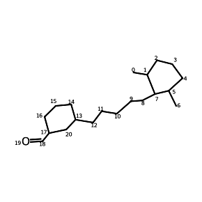 CC1CCCC(C)C1CCCCCC1CCCC(C=O)C1